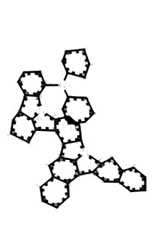 c1ccc(N(c2ccccc2)c2cccc3c4cccc5c6c7c8cc9ccccc9c9c%10cc%11ccccc%11cc%10n(c7ccc6n(c23)c45)c89)cc1